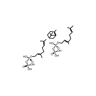 CC(C)=CCCC(C)=CCOP(=O)(O)OP(=O)(O)O.CC(C)=CCCC(C)=CCOP(=O)(O)OP(=O)(O)O.CC1=C2CC(CC1)C2(C)C